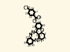 O=C1CCCC2=C1C(c1cccc(OC(=O)c3ccc(Cl)cc3)c1)N=Nc1ccccc1N2